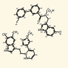 Cc1cc2c(CCN3NC=CC=C3c3cnn(C)c3)c[nH]c2cc1Cl.O=C(O)N(Cc1c[nH]c2ccc(Cl)cc12)C(=O)c1cccc(-c2cccc(F)c2)c1